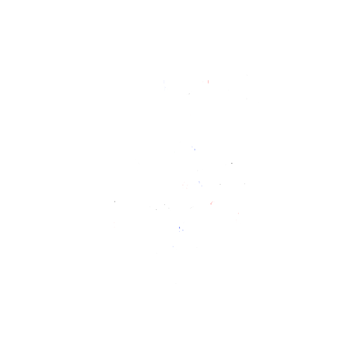 CC(C)(C)OC(=O)Nc1sc2c(F)ccc(-c3c4c(c5c(N6C7CCC6CN(C(=O)OC(C)(C)C)C7)cc(S(C)(=O)=O)nc5c3Cl)COC4)c2c1C#N